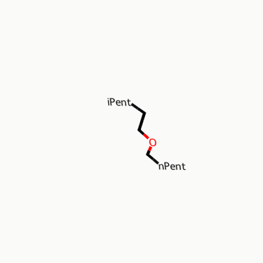 CCCCCCOCCC(C)CCC